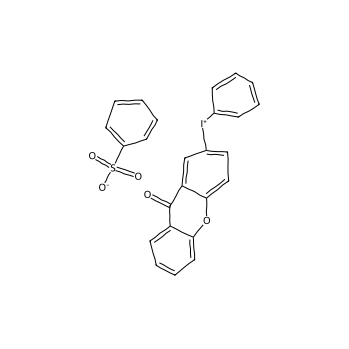 O=S(=O)([O-])c1ccccc1.O=c1c2ccccc2oc2ccc([I+]c3ccccc3)cc12